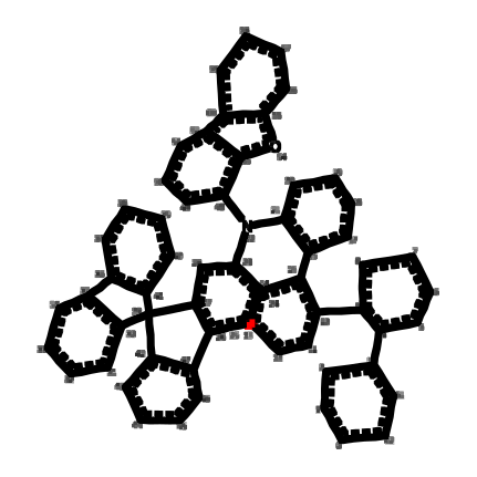 c1ccc(-c2ccccc2-c2ccccc2-c2ccccc2N(c2ccc3c(c2)C2(c4ccccc4-c4ccccc42)c2ccccc2-3)c2cccc3c2oc2ccccc23)cc1